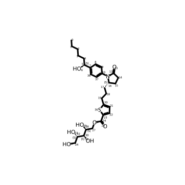 CCCCC[C@H](O)c1ccc(N2C(=O)CC[C@@H]2CCCc2ccc(C(=O)OC[C@H](O)[C@@H](O)[C@@H](O)CO)s2)cc1